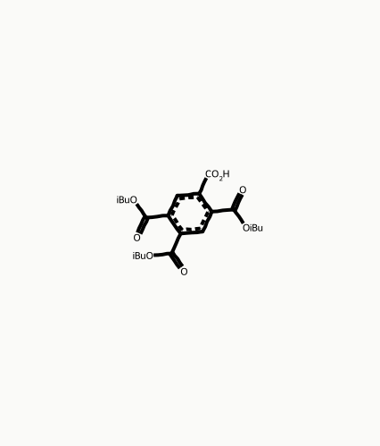 CC(C)COC(=O)c1cc(C(=O)OCC(C)C)c(C(=O)OCC(C)C)cc1C(=O)O